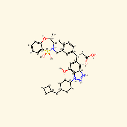 COc1cc([C@@H](CC(=O)O)c2ccc(C)c(CN3C[C@@H](C)Oc4ccccc4S3(=O)=O)c2)cc2nnn(C3CCC(CC4CCC4)CC3)c12